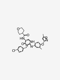 Cc1cc(Oc2ccc(/N=c3\[nH]cc(NC(=O)C4CCOCC4)c(=O)n3Cc3ccc(Cl)cc3)cc2C)no1